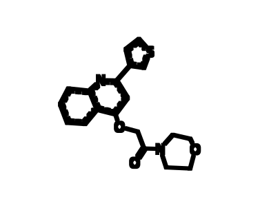 O=C(COc1cc(-c2ccsc2)nc2ccccc12)N1CCOCC1